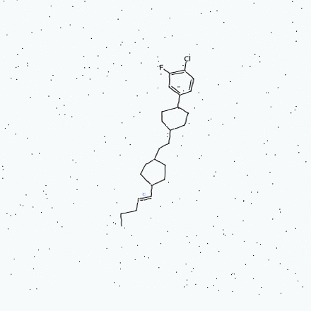 CCC/C=C/C1CCC(CCC2CCC(c3ccc(Cl)c(F)c3)CC2)CC1